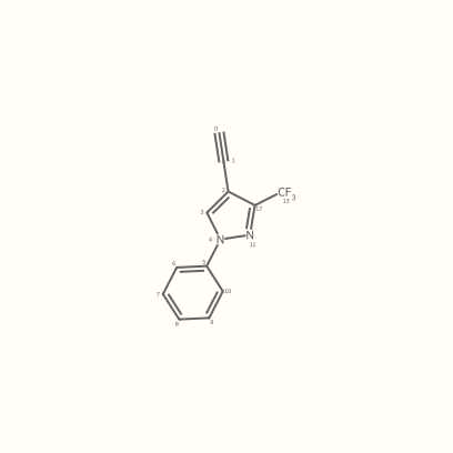 C#Cc1cn(-c2ccccc2)nc1C(F)(F)F